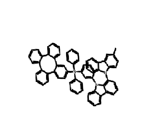 Cc1ccc2c(c1)c1ccccc1n2-c1cccc2c3ccccc3n(-c3cccc([Si](c4ccccc4)(c4ccccc4)c4ccc5c(c4)-c4ccccc4-c4ccccc4-c4ccccc4-5)c3)c12